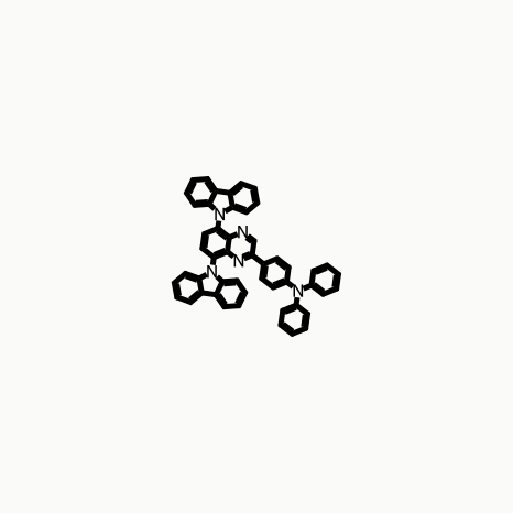 c1ccc(N(c2ccccc2)c2ccc(-c3cnc4c(-n5c6ccccc6c6ccccc65)ccc(-n5c6ccccc6c6ccccc65)c4n3)cc2)cc1